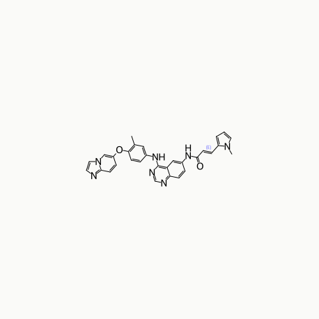 Cc1cc(Nc2ncnc3ccc(NC(=O)/C=C/c4cccn4C)cc23)ccc1Oc1ccc2nccn2c1